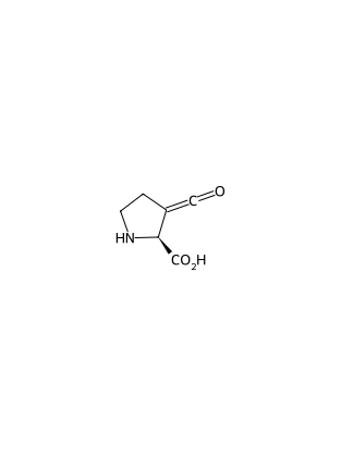 O=C=C1CCN[C@@H]1C(=O)O